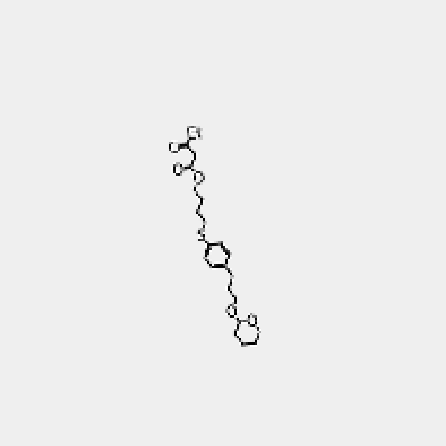 CCC(=O)CC(=O)OCCCCSc1ccc(CCCOC2CCCCO2)cc1